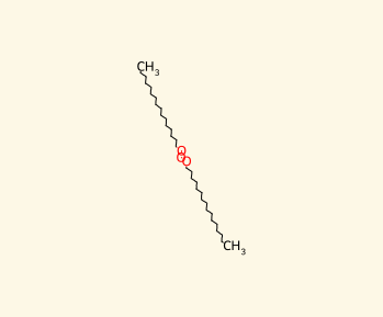 CCCCCCCCCCCCCCCCOOOCCCCCCCCCCCCCCCC